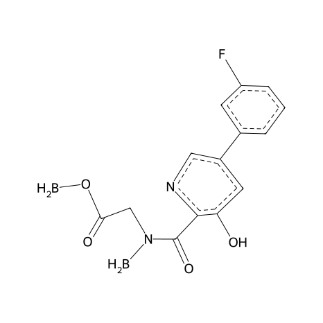 BOC(=O)CN(B)C(=O)c1ncc(-c2cccc(F)c2)cc1O